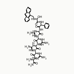 N=C(N)NC(NC(=O)C(NC(=N)N)NC(=O)C(NC(=N)N)NC(=O)C(NC(=N)N)NC(=O)C(NC(=O)C(O)NCc1c2ccccc2cc2ccccc12)c1ccccc1)C(=O)NC(N)C(N)=O